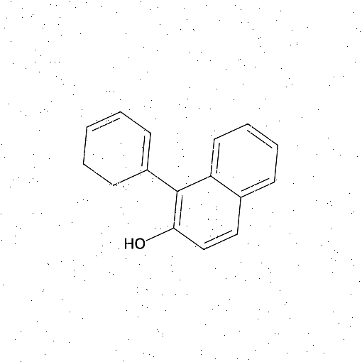 Oc1ccc2ccccc2c1C1=CC=CCC1